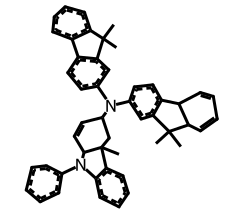 CC1(C)c2ccccc2-c2ccc(N(c3ccc4c(c3)C(C)(C)C3C=CC=CC43)C3C=CC4N(c5ccccc5)c5ccccc5C4(C)C3)cc21